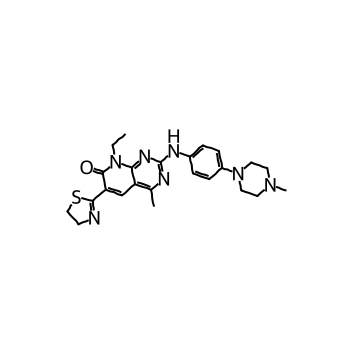 CCn1c(=O)c(C2=NCCS2)cc2c(C)nc(Nc3ccc(N4CCN(C)CC4)cc3)nc21